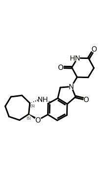 N[C@H]1CCCCC[C@@H]1Oc1ccc2c(c1)CN(C1CCC(=O)NC1=O)C2=O